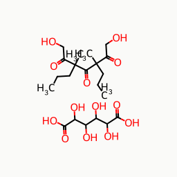 CCCC(C)(C(=O)CO)C(=O)C(C)(CCC)C(=O)CO.O=C(O)C(O)C(O)C(O)C(O)C(=O)O